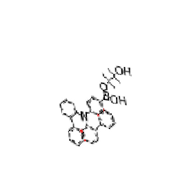 CC(C)(O)C(C)(C)OB(O)c1ccc(N(c2ccccc2-c2ccccc2)c2ccccc2-c2ccccc2)cc1